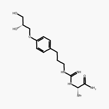 CCC[C@H](NC(=N)NCCCc1ccc(OC[C@H](O)CO)cc1)C(N)=O